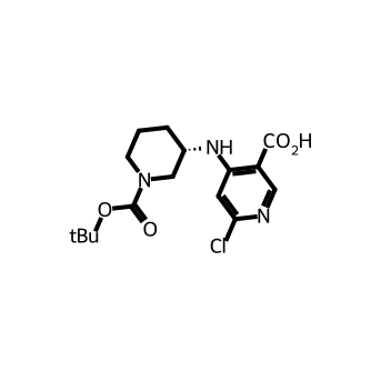 CC(C)(C)OC(=O)N1CCC[C@H](Nc2cc(Cl)ncc2C(=O)O)C1